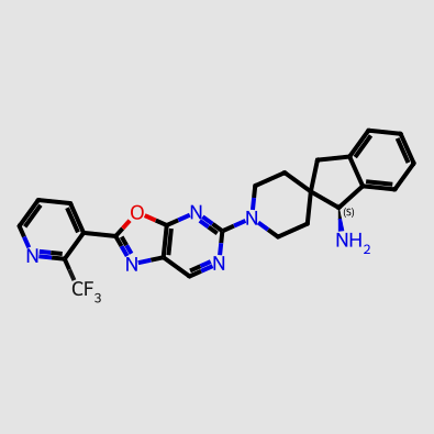 N[C@@H]1c2ccccc2CC12CCN(c1ncc3nc(-c4cccnc4C(F)(F)F)oc3n1)CC2